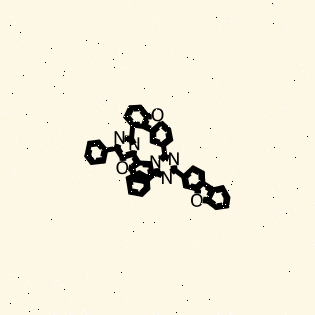 c1ccc(-c2nc(-c3ccc4c(c3)oc3ccccc34)nc(-c3ccc4oc5cccc(-c6nc(-c7ccccc7)c7oc8ccccc8c7n6)c5c4c3)n2)cc1